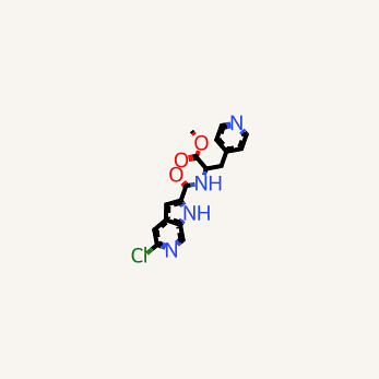 COC(=O)C(Cc1ccncc1)NC(=O)c1cc2cc(Cl)ncc2[nH]1